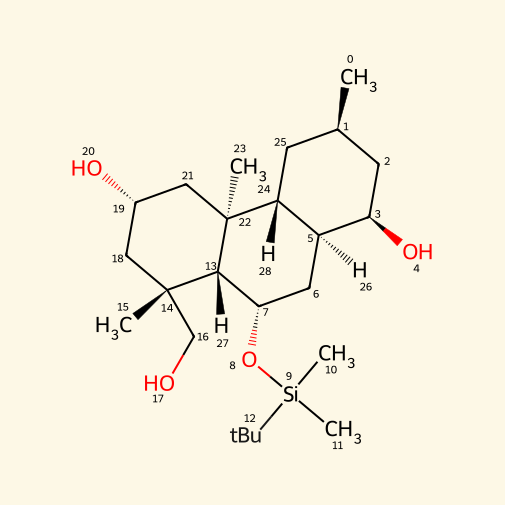 C[C@H]1C[C@@H](O)[C@H]2C[C@H](O[Si](C)(C)C(C)(C)C)[C@@H]3[C@](C)(CO)C[C@H](O)C[C@@]3(C)[C@@H]2C1